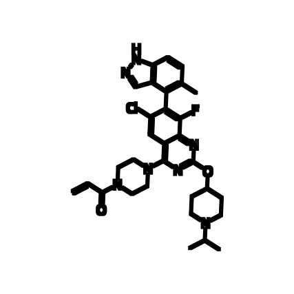 C=CC(=O)N1CCN(c2nc(OC3CCN(C(C)C)CC3)nc3c(F)c(-c4c(C)ccc5[nH]ncc45)c(Cl)cc23)CC1